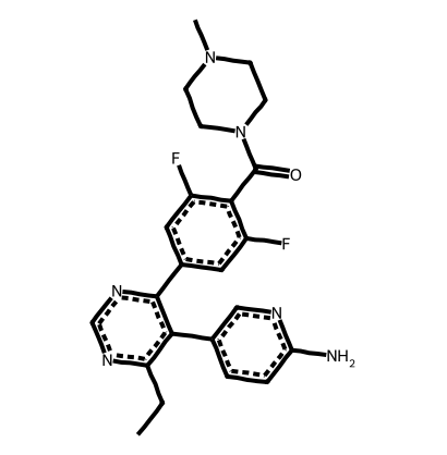 CCc1ncnc(-c2cc(F)c(C(=O)N3CCN(C)CC3)c(F)c2)c1-c1ccc(N)nc1